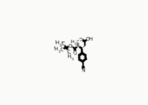 CN(C(=O)OC(C)(C)C)[C@H](CC(=O)O)c1ccc(C#N)cc1